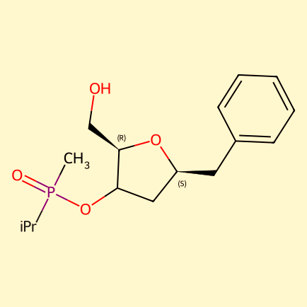 CC(C)P(C)(=O)OC1C[C@H](Cc2ccccc2)O[C@@H]1CO